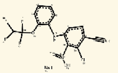 N#Cc1ccc(Nc2ccccc2OC(F)(F)C(F)F)c([N+](=O)O)c1Cl.[NaH]